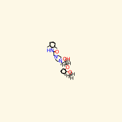 [2H]C([2H])([2H])Oc1ccccc1OC([2H])([2H])C([2H])(O)CN1CCN(CC(=O)Nc2c(C)cccc2C)CC1